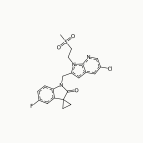 CS(=O)(=O)CCn1c(CN2C(=O)C3(CC3)c3cc(F)ccc32)cc2cc(Cl)cnc21